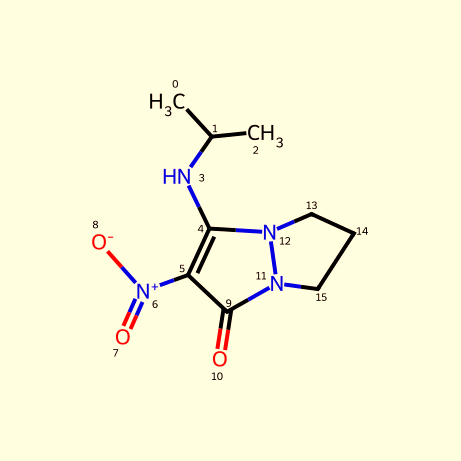 CC(C)Nc1c([N+](=O)[O-])c(=O)n2n1CCC2